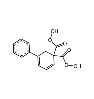 O=C(OO)C1(C(=O)OO)C=CC=C(c2ccccc2)C1